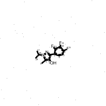 Cc1c(O)c(-c2ccc(F)c(F)c2F)nn1C(C)C